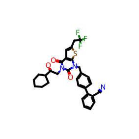 N#Cc1ccccc1-c1ccc(Cn2c(=O)n(CC(=O)C3CCCCC3)c(=O)c3cc(CC(F)(F)F)sc32)cc1